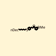 CCCCCCCCCCCCCCCCCSc1ccc(C=CC(=O)c2cccc(OC)c2)cc1